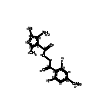 CCn1nc(C)c(C(=O)OCC(=O)c2c(F)cc(OC)cc2F)c1N